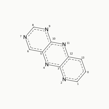 c1cnc2nc3cncnc3nc2c1